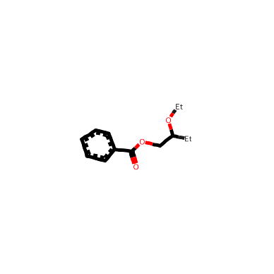 CCOC(CC)COC(=O)c1ccccc1